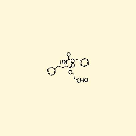 O=CCCOC(=O)C(CCc1ccccc1)NC(=O)OCc1ccccc1